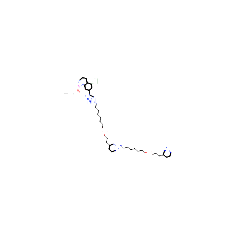 CC(=O)Oc1c(-c2cn(CCCCCCCCOCCCc3ccc[n+](CCCCCCCCOCCCc4cccnc4)c3)nn2)cc(Cl)c2cccnc12